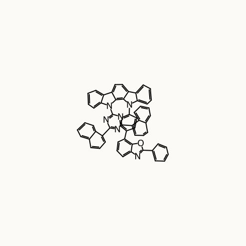 c1ccc(-c2nc3cccc(-c4ccc(-n5c6ccccc6c6ccc7c8ccccc8n(-c8nc(-c9cccc%10ccccc9%10)nc(-c9cccc%10ccccc9%10)n8)c7c65)cc4)c3o2)cc1